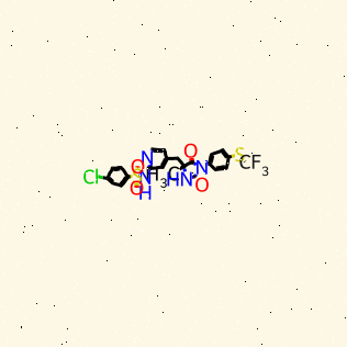 CC1(Cc2ccnc(NS(=O)(=O)c3ccc(Cl)cc3)c2)NC(=O)N(c2ccc(SC(F)(F)F)cc2)C1=O